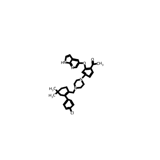 CC(=O)c1ccc(N2CCN(CC3=C(c4ccc(Cl)cc4)CC(C)(C)CC3)CC2)cc1Oc1cnc2[nH]ccc2c1